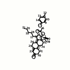 C#C[C@]1(OC(=O)COc2ccc(C)cc2)CC(CCCCC)C2C3CCC4=CC(=O)CCC4C3CC[C@@]21CC